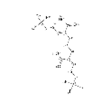 O=C(O)C(=CSCC(F)(F)F)CCCC(=CSCC(F)(F)F)C(=O)O